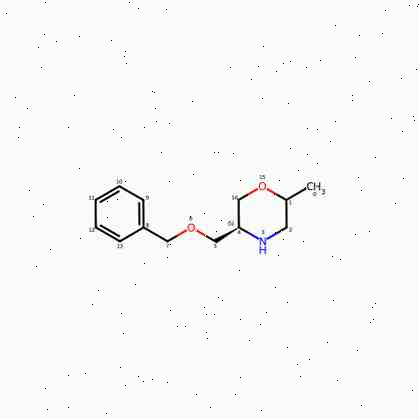 CC1CN[C@@H](COCc2ccccc2)CO1